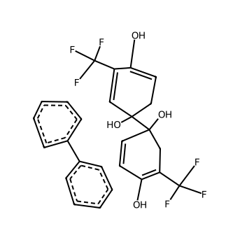 OC1=CCC(O)(C2(O)C=CC(O)=C(C(F)(F)F)C2)C=C1C(F)(F)F.c1ccc(-c2ccccc2)cc1